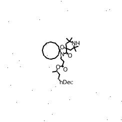 CCCCCCCCCCCCC(C)OC(=O)CCN1C(=O)C2(CC(C)(C)NC(C)(C)C2)OC12CCCCCCCCCCC2